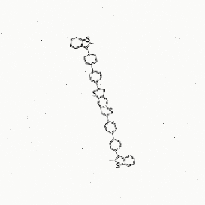 Cc1sc2ccccc2c1-c1ccc(-c2ccc(-c3cc4cc5sc(-c6ccc(-c7ccc(-c8c(C)sc9ccccc89)cc7)cc6)cc5cc4s3)cc2)cc1